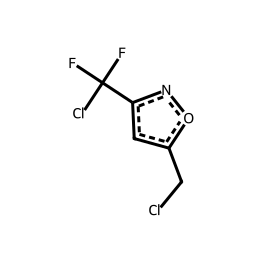 FC(F)(Cl)c1cc(CCl)on1